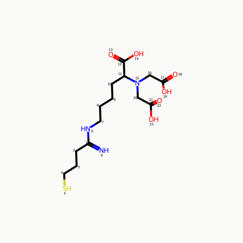 N=C(CCCS)NCCCCC(C(=O)O)N(CC(=O)O)CC(=O)O